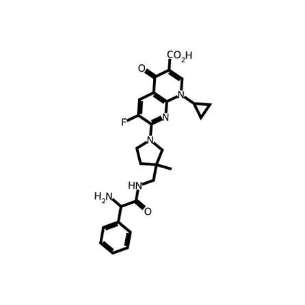 CC1(CNC(=O)C(N)c2ccccc2)CCN(c2nc3c(cc2F)c(=O)c(C(=O)O)cn3C2CC2)C1